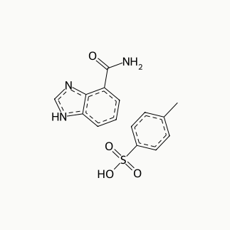 Cc1ccc(S(=O)(=O)O)cc1.NC(=O)c1cccc2[nH]cnc12